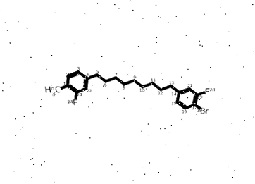 Cc1ccc(CCCCCCCCCc2ccc(Br)c(F)c2)cc1F